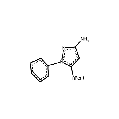 CCCCCc1cc(N)nn1-c1ccccc1